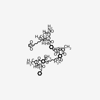 C=C1C[C@H]2C(O)N(C(=O)OCc3ccc(NC(=O)[C@H](CCCNC(N)=O)NC(=O)[C@@H](NC(=O)CCCCCN4C(=O)C=CC4=O)C(C)C)cc3)c3cc(OCCCCCOc4cc5c(cc4OC)C(=O)N4CC(C)(C)C[C@H]4C(O)N5C(=O)OCc4ccccc4)c(OC)cc3C(=O)N2C1